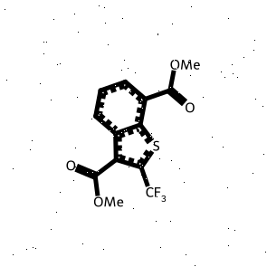 COC(=O)c1c(C(F)(F)F)sc2c(C(=O)OC)cccc12